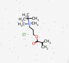 C=C(C)C(=O)OCCC[N+](C)(C)C(C)(C)C.[Cl-]